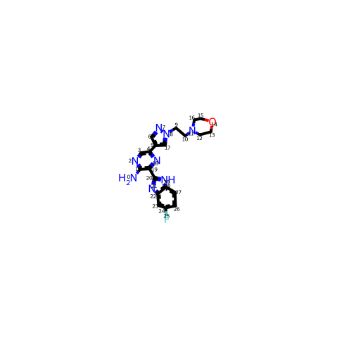 Nc1ncc(-c2cnn(CCN3CCOCC3)c2)nc1-c1nc2cc(F)ccc2[nH]1